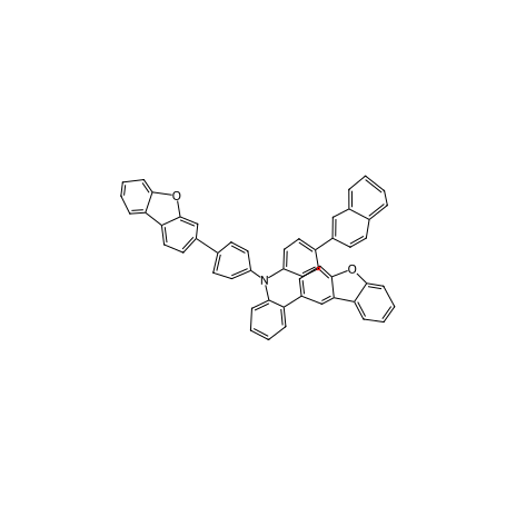 c1ccc(N(c2ccc(-c3ccc4ccccc4c3)cc2)c2ccc(-c3ccc4c(c3)oc3ccccc34)cc2)c(-c2ccc3oc4ccccc4c3c2)c1